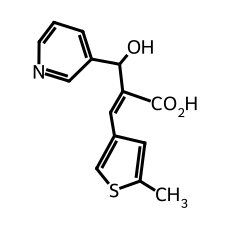 Cc1cc(C=C(C(=O)O)C(O)c2cccnc2)cs1